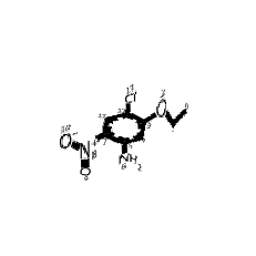 CCOc1cc(N)c([N+](=O)[O-])cc1Cl